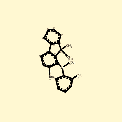 CC(C)(C)c1ccccc1N(c1c(C(C)(C)C)ccc2c1C(C)(C)c1ccccc1-2)C(C)(C)C